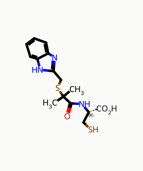 CC(C)(SCc1nc2ccccc2[nH]1)C(=O)N[C@@H](CS)C(=O)O